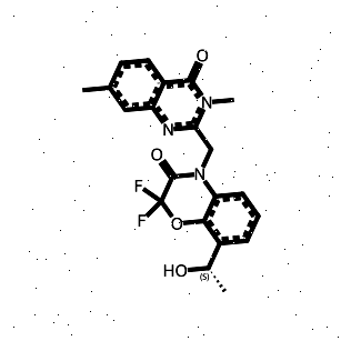 Cc1ccc2c(=O)n(C)c(CN3C(=O)C(F)(F)Oc4c([C@H](C)O)cccc43)nc2c1